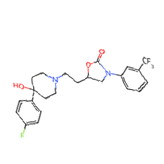 O=C1OC(CCN2CCC(O)(c3ccc(F)cc3)CC2)CN1c1cccc(C(F)(F)F)c1